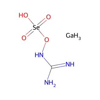 N=C(N)NO[Se](=O)(=O)O.[GaH3]